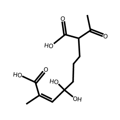 CC(=O)C(CCCC(O)(O)C=C(C)C(=O)O)C(=O)O